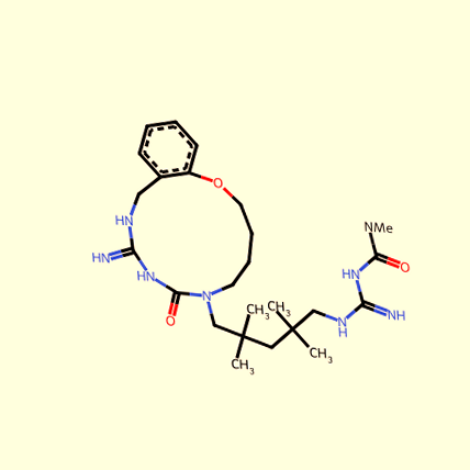 CNC(=O)NC(=N)NCC(C)(C)CC(C)(C)CN1CCCCOc2ccccc2CNC(=N)NC1=O